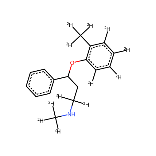 [2H]c1c([2H])c([2H])c(C([2H])([2H])[2H])c(OC(CC([2H])([2H])NC([2H])([2H])[2H])c2ccccc2)c1[2H]